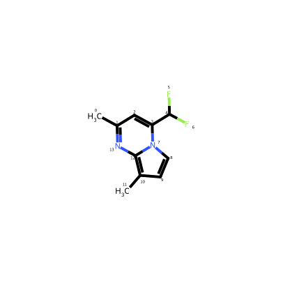 Cc1cc(C(F)F)n2ccc(C)c2n1